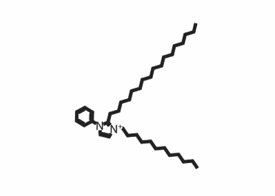 CCCCCCCCCCCCCCCCCc1n(-c2ccccc2)cc[n+]1CCCCCCCCCCCC